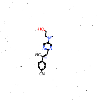 CN(CCO)c1cnc(/C=C(\C#N)c2ccc(C#N)cc2)nc1